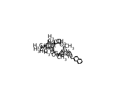 CO[C@]1(C)C[C@@H](C)CN(C)[C@@H](CN2CCN(Cc3ccc4ccccc4c3)CC2)[C@H](C)OC(=O)C(C)(C)C(=O)[C@H](C)[C@H]1O[C@@H]1O[C@H](C)C[C@H](N(C)C)[C@H]1O